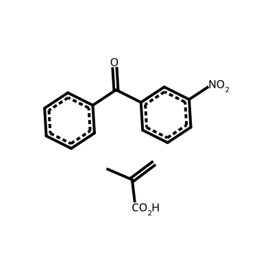 C=C(C)C(=O)O.O=C(c1ccccc1)c1cccc([N+](=O)[O-])c1